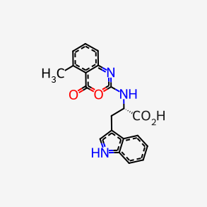 Cc1cccc2nc(N[C@@H](Cc3c[nH]c4ccccc34)C(=O)O)oc(=O)c12